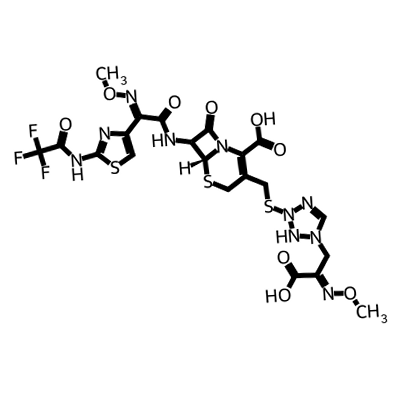 CO/N=C(\CN1C=NN(SCC2=C(C(=O)O)N3C(=O)C(NC(=O)/C(=N/OC)c4csc(NC(=O)C(F)(F)F)n4)[C@H]3SC2)N1)C(=O)O